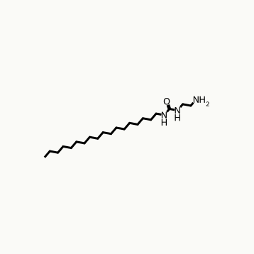 CCCCCCCCCCCCCCCCCCNC(=O)NCCN